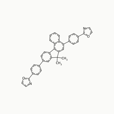 CC1(C)c2cc(-c3ccc(-c4ncco4)cc3)ccc2-c2c1cc(-c1ccc(-c3ncco3)cc1)c1ccccc21